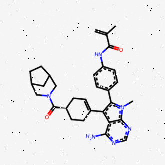 C=C(C)C(=O)Nc1ccc(-c2c(C3=CC[C@H](C(=O)N4CC5CCC(C5)C4)CC3)c3c(N)ncnc3n2C)cc1